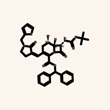 CC(C)(C)OC(=O)N[C@@H]1C(=O)N2C(C(=O)OC(c3ccccc3)c3ccccc3)=C(C=C3CCN(Cc4cccs4)C3=O)C[S@+]([O-])[C@H]12